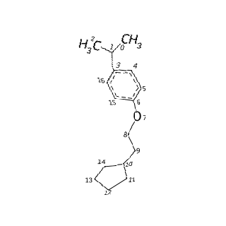 CC(C)c1ccc(OCCC2CCCC2)cc1